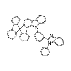 c1ccc(-n2c(-c3cccc(-n4c5ccccc5c5ccc6c(c54)-c4ccccc4C64c5ccccc5-c5ccccc54)c3)nc3ccccc32)cc1